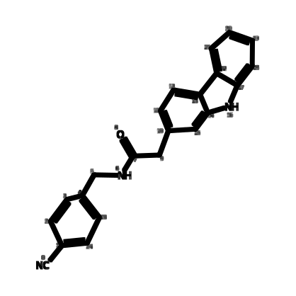 N#Cc1ccc(CNC(=O)Cc2ccc3c(c2)[nH]c2ccccc23)cc1